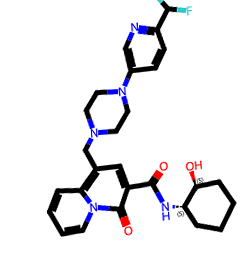 O=C(N[C@H]1CCCC[C@@H]1O)c1cc(CN2CCN(c3ccc(C(F)F)nc3)CC2)c2ccccn2c1=O